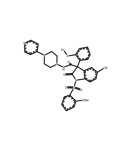 CCOc1ccccc1C1(C(=O)NN2CCN(c3ccncc3)CC2)C(=O)N(S(=O)(=O)c2ccccc2OC)c2ccc(C#N)cc21